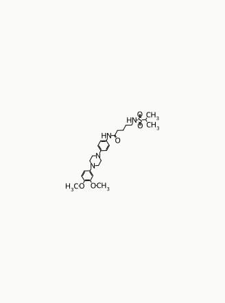 COc1ccc(N2CCN(c3ccc(NC(=O)CCCCNS(=O)(=O)C(C)C)cc3)CC2)cc1OC